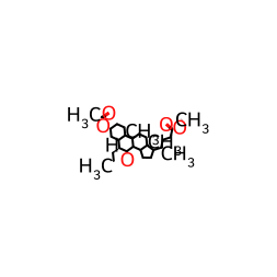 CCC[C@@H]1C(=O)C2C3CCC([C@H](C)CCC(=O)OC)[C@@]3(C)CCC2[C@@]2(C)CC[C@@H](OC(C)=O)C[C@@H]12